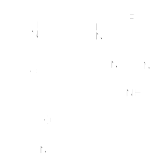 Fc1cnc(Nc2ccc(-c3cnco3)cc2)nc1Nc1ccc2c(c1)NCCO2